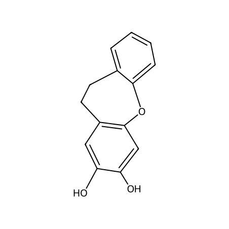 Oc1cc2c(cc1O)Oc1ccccc1CC2